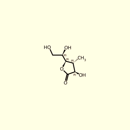 C[C@H]1[C@H]([C@H](O)CO)OC(=O)[C@@H]1O